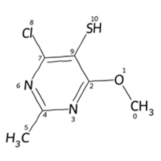 COc1nc(C)nc(Cl)c1S